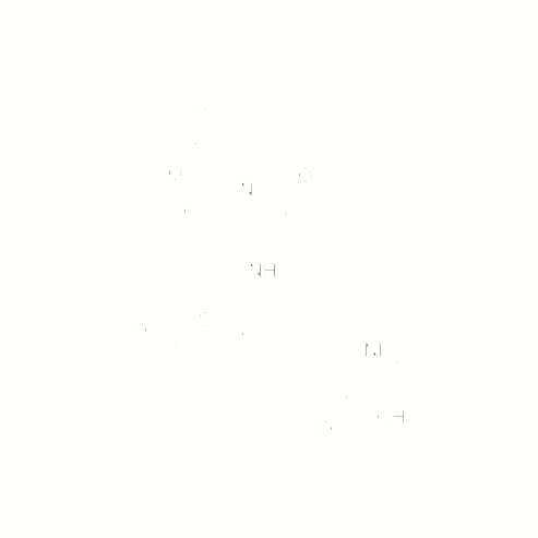 COC(=O)CN(C(C)=O)C(=O)C(CSC(C)=O)NC(=O)CCC(N)C(=O)O